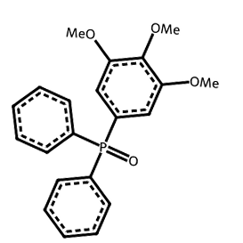 COc1cc(P(=O)(c2ccccc2)c2ccccc2)cc(OC)c1OC